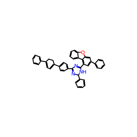 C1=C(c2ccccc2)CCC(c2ccc(C3=NC(c4ccccc4)NC(c4cc(-c5ccccc5)cc5oc6ccccc6c45)=N3)cc2)=C1